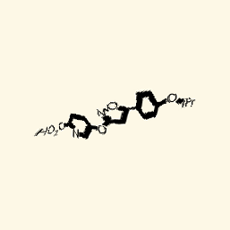 CC(C)Oc1ccc([C@H]2CC(Oc3ccc(C(=O)O)nc3)=NO2)cc1